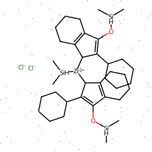 C[SiH](C)OC1=C(C2CCCCC2)[CH]([Zr+2]([CH]2C3=C(CCCC3)C(O[SiH](C)C)=C2C2CCCCC2)[SiH](C)C)C2=C1CCCC2.[Cl-].[Cl-]